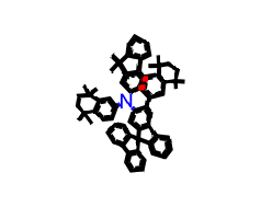 CC1(C)CCC(C)(C)c2cc(-c3cc4c(cc3N(c3ccc5c(c3)C(C)(C)CCC5(C)C)c3ccc5c(c3)C(C)(C)c3ccccc3-5)C3(c5ccccc5-c5ccccc53)c3ccccc3-4)ccc21